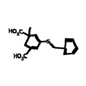 CC1(C(=O)O)C=C(SCc2ccccc2)C=C(C(=O)O)C1